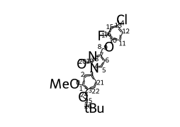 COc1cc(-n2ccc(COc3ccc(Cl)cc3F)nc2=O)ccc1OCC(C)(C)C